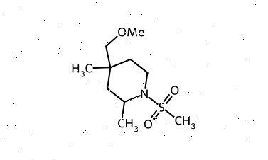 COCC1(C)CCN(S(C)(=O)=O)C(C)C1